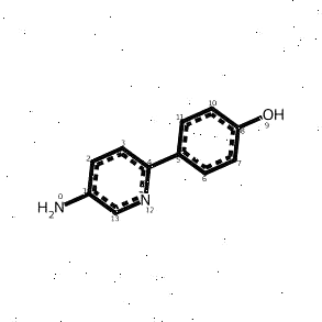 Nc1ccc(-c2ccc(O)cc2)nc1